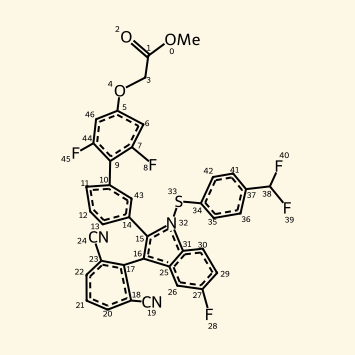 COC(=O)COc1cc(F)c(-c2cccc(-c3c(-c4c(C#N)cccc4C#N)c4cc(F)ccc4n3Sc3ccc(C(F)F)cc3)c2)c(F)c1